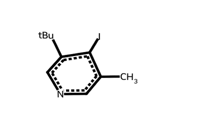 Cc1cncc(C(C)(C)C)c1I